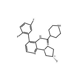 O=C(Nc1c(-c2cc(F)ccc2F)ccnc1N1CC[C@H](F)C1)C1CCNCC1